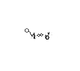 NC(=O)c1cccnc1O[C@H]1CC2(C1)C[C@H](N1C(=O)NC(CCC3CCCCC3)C1=O)C2